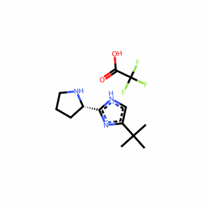 CC(C)(C)c1c[nH]c([C@@H]2CCCN2)n1.O=C(O)C(F)(F)F